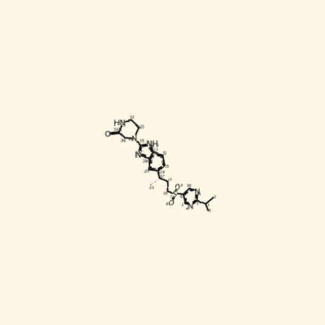 CC(C)c1ncc(S(=O)(=O)CC[C@H](C)c2ccc3[nH]c(N4CCNC(=O)C4)nc3c2)cn1